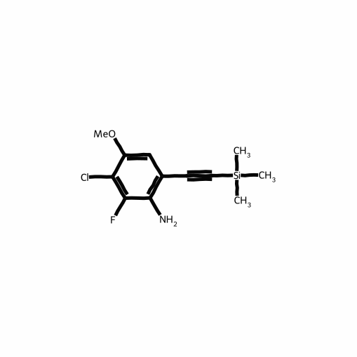 COc1cc(C#C[Si](C)(C)C)c(N)c(F)c1Cl